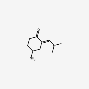 CN(C)C=C1CC(N)CCC1=O